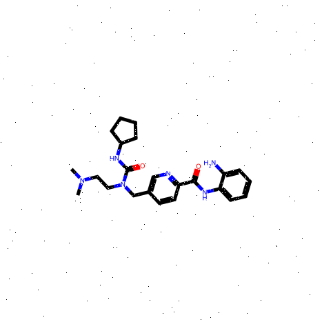 CN(C)CCN(Cc1ccc(C(=O)Nc2ccccc2N)nc1)C(=O)NC1CCCC1